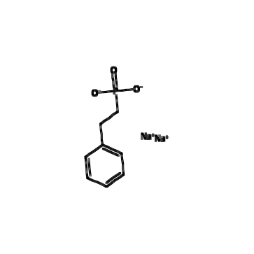 O=P([O-])([O-])CCc1ccccc1.[Na+].[Na+]